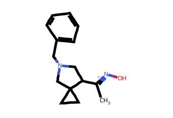 C/C(=N\O)C1CN(Cc2ccccc2)CC12CC2